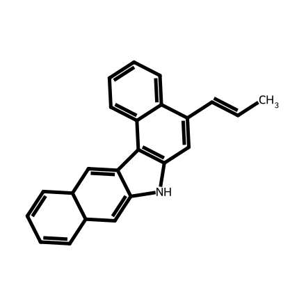 C/C=C/c1cc2[nH]c3c(c2c2ccccc12)=CC1C=CC=CC1C=3